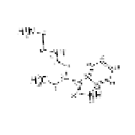 CCC(CCNCCN)c1c[nH]c2ccccc12